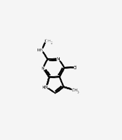 CNc1nc(Cl)c2c(C)c[nH]c2n1